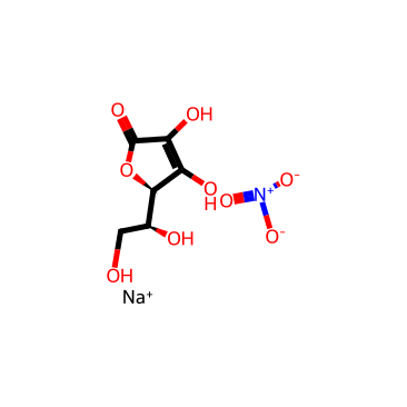 O=C1O[C@H]([C@@H](O)CO)C(O)=C1O.O=[N+]([O-])[O-].[Na+]